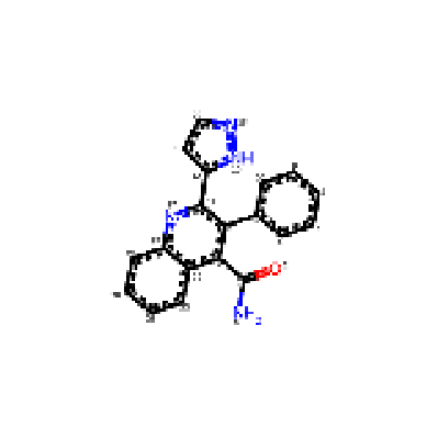 NC(=O)c1c(-c2ccccc2)c(-c2ccn[nH]2)nc2ccccc12